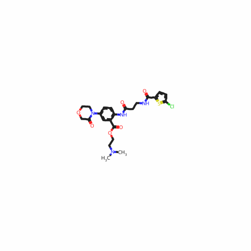 CN(C)CCOC(=O)c1cc(N2CCOCC2=O)ccc1NC(=O)CCNC(=O)c1ccc(Cl)s1